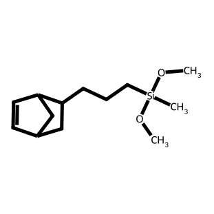 CO[Si](C)(CCCC1CC2C=CC1C2)OC